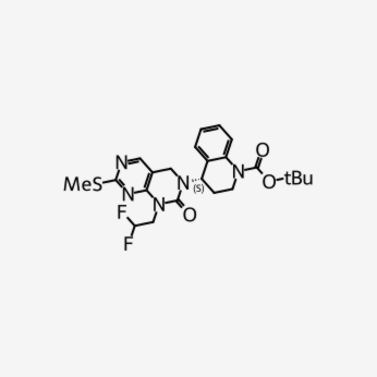 CSc1ncc2c(n1)N(CC(F)F)C(=O)N([C@H]1CCN(C(=O)OC(C)(C)C)c3ccccc31)C2